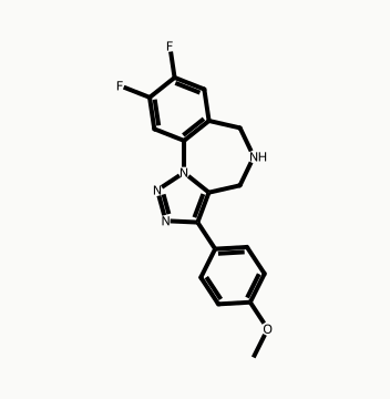 COc1ccc(-c2nnn3c2CNCc2cc(F)c(F)cc2-3)cc1